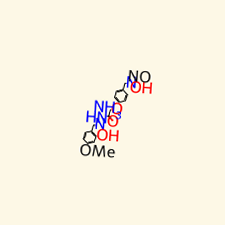 COc1ccc(C=NNC(=O)COc2ccc(CN(O)N=O)cc2)c(O)c1.N